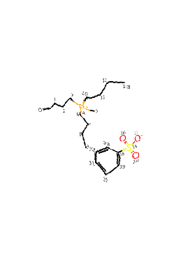 CCCC[P+](C)(CCCC)CCCC.O=S(=O)([O-])c1ccccc1